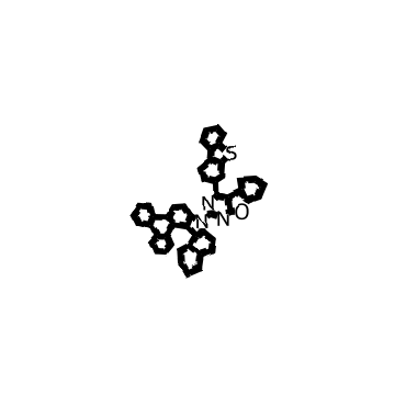 c1ccc2c(c1)ccc1c2c2c3c4ccccc4c4ccccc4c3ccc2n1-c1nc(-c2ccc3c(c2)sc2ccccc23)c2c(n1)oc1ccccc12